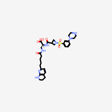 O=C(CCCCc1ccc2c(n1)NCCC2)NC[C@H](NC(=O)C1CN(S(=O)(=O)c2cccc(N3CCNCC3)c2)C1)C(=O)O